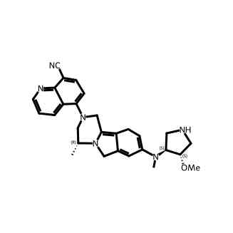 CO[C@H]1CNC[C@@H]1N(C)C1=CCC2=C3CN(c4ccc(C#N)c5ncccc45)C[C@@H](C)N3CC2=C1